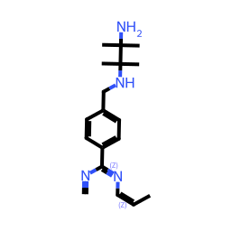 C=N/C(=N\C=C/C)c1ccc(CNC(C)(C)C(C)(C)N)cc1